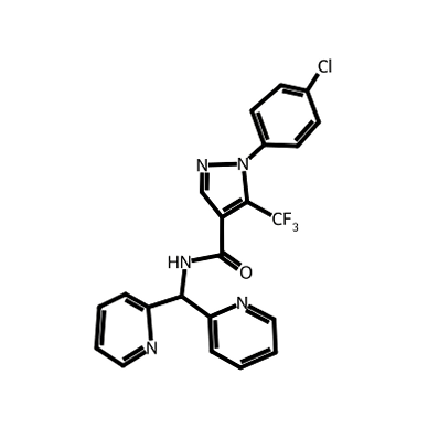 O=C(NC(c1ccccn1)c1ccccn1)c1cnn(-c2ccc(Cl)cc2)c1C(F)(F)F